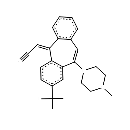 CN1CCN(C2=Cc3ccccc3/C(=C/C#N)c3ccc(C(F)(F)F)cc32)CC1